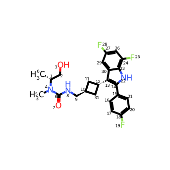 C[C@H](CO)N(C)C(=O)NC[C@H]1C[C@H](c2c(-c3ccc(F)cc3)[nH]c3c(F)cc(F)cc32)C1